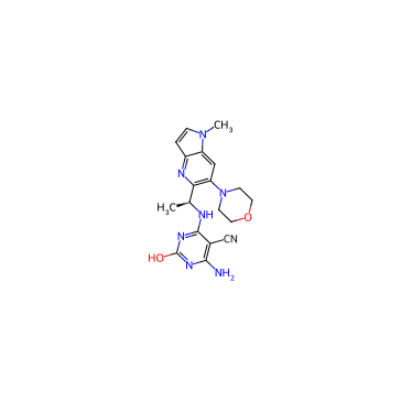 C[C@H](Nc1nc(O)nc(N)c1C#N)c1nc2ccn(C)c2cc1N1CCOCC1